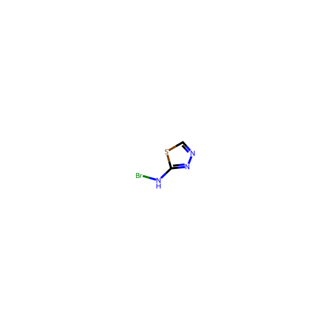 BrNc1nncs1